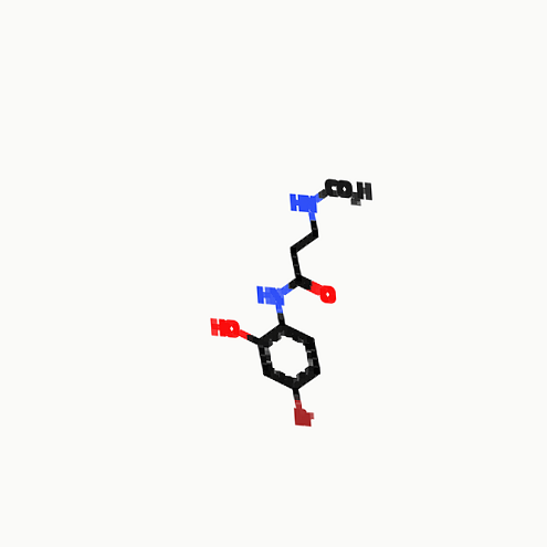 O=C(O)NCCC(=O)Nc1ccc(Br)cc1O